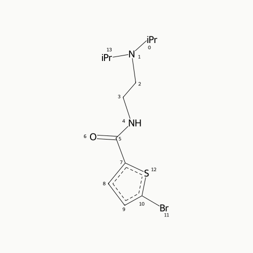 CC(C)N(CCNC(=O)c1ccc(Br)s1)C(C)C